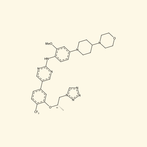 COc1cc(N2CCC(N3CCOCC3)CC2)ccc1Nc1ncc(-c2ccc(C(F)(F)F)c(O[C@@H](C)Cn3cnnn3)c2)cn1